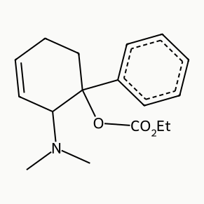 CCOC(=O)OC1(c2ccccc2)CCC=CC1N(C)C